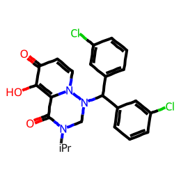 CC(C)N1CN(C(c2cccc(Cl)c2)c2cccc(Cl)c2)n2ccc(=O)c(O)c2C1=O